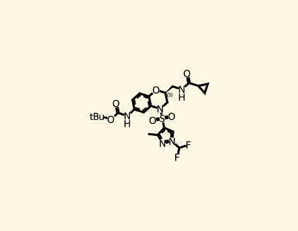 Cc1nn(C(F)F)cc1S(=O)(=O)N1C[C@H](CNC(=O)C2CC2)Oc2ccc(NC(=O)OC(C)(C)C)cc21